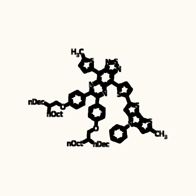 CCCCCCCCCCC(CCCCCCCC)COc1ccc(-c2nc3c(-c4ccc(C)s4)c4nsnc4c(-c4ccc(-c5cc6c(s5)c5sc(C)cc5n6-c5ccccc5)s4)c3nc2-c2ccc(OCC(CCCCCCCC)CCCCCCCCCC)cc2)cc1